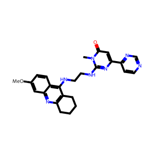 COc1ccc2c(NCCNc3nc(-c4ccncn4)cc(=O)n3C)c3c(nc2c1)CCCC3